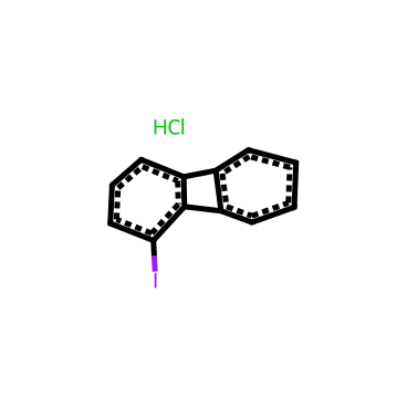 Cl.Ic1cccc2c1-c1ccccc1-2